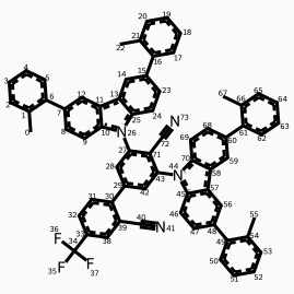 Cc1ccccc1-c1ccc2c(c1)c1cc(-c3ccccc3C)ccc1n2-c1cc(-c2ccc(C(F)(F)F)cc2C#N)cc(-n2c3ccc(-c4ccccc4C)cc3c3cc(-c4ccccc4C)ccc32)c1C#N